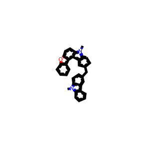 Cn1c2ccccc2c2cc(Cc3ccc4c(c3)c3c5c(ccc3n4C)oc3ccccc35)ccc21